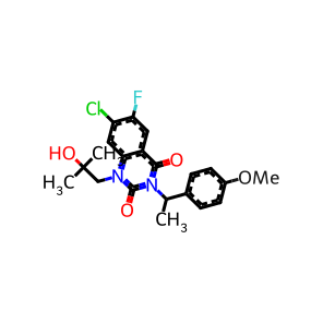 COc1ccc(C(C)n2c(=O)c3cc(F)c(Cl)cc3n(CC(C)(C)O)c2=O)cc1